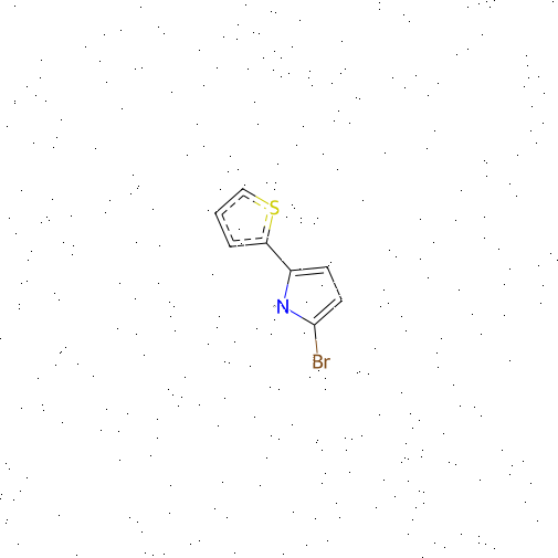 BrC1=CC=C(c2cccs2)[N]1